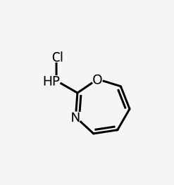 ClPC1=NC=CC=CO1